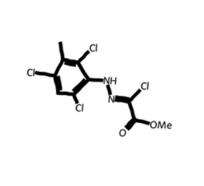 COC(=O)C(Cl)=NNc1c(Cl)cc(Cl)c(C)c1Cl